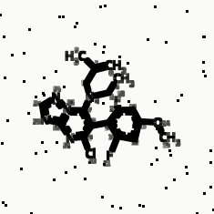 C=C(C)CN(CC)c1c(-c2c(F)cc(OC)cc2F)c(Cl)nc2ncnn12